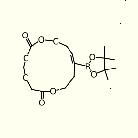 CC1(C)OB(C2=CCCOC(=O)CCCCC(=O)OCC2)OC1(C)C